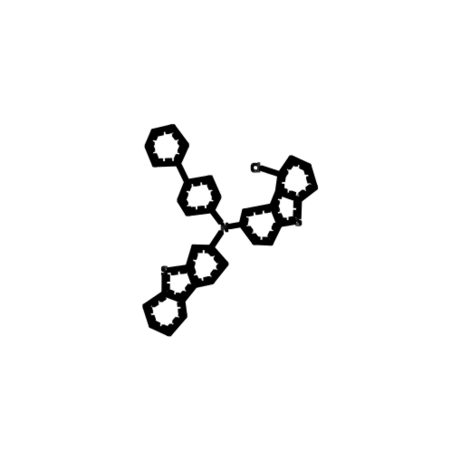 Clc1cccc2sc3ccc(N(c4ccc(-c5ccccc5)cc4)c4ccc5c(c4)sc4ccccc45)cc3c12